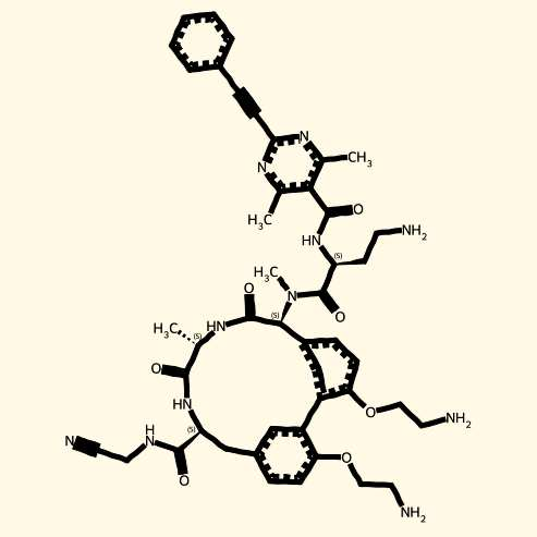 Cc1nc(C#Cc2ccccc2)nc(C)c1C(=O)N[C@@H](CCN)C(=O)N(C)[C@@H]1C(=O)N[C@@H](C)C(=O)N[C@H](C(=O)NCC#N)Cc2ccc(OCCN)c(c2)-c2cc1ccc2OCCN